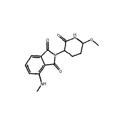 CNc1cccc2c1C(=O)N(C1CCC(OC)NC1=O)C2=O